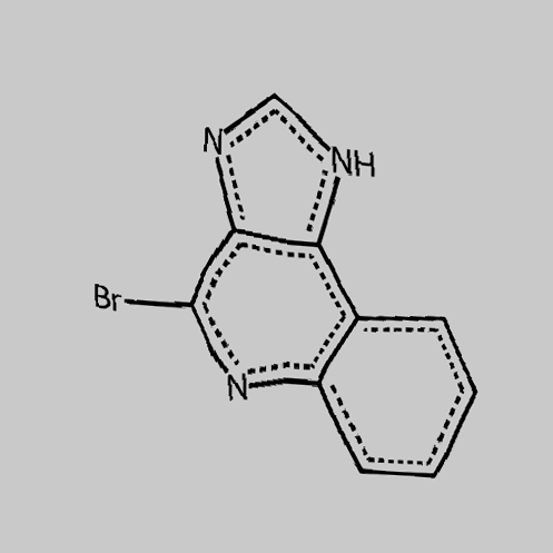 Brc1nc2ccccc2c2[nH]cnc12